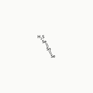 S.[Se]=[Sn]=[Se]